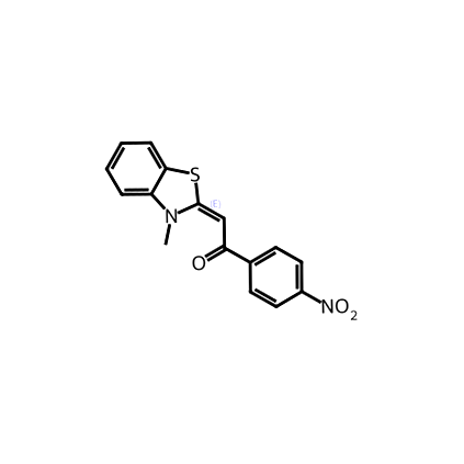 CN1/C(=C\C(=O)c2ccc([N+](=O)[O-])cc2)Sc2ccccc21